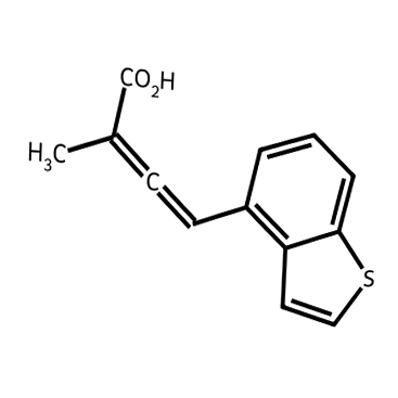 CC(=C=Cc1cccc2sccc12)C(=O)O